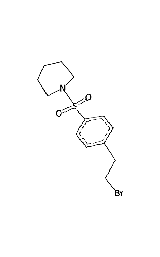 O=S(=O)(c1ccc(CCBr)cc1)N1CCCCC1